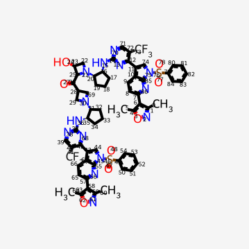 Cc1noc(C)c1-c1ccc2c(-c3nc(N[C@H]4CCC[C@H]4N4CC(O)C4C(=O)C4CN([C@H]5CCC[C@@H]5Nc5ncc(C(F)(F)F)c(-c6cn(S(=O)(=O)c7ccccc7)c7nc(-c8c(C)noc8C)ccc67)n5)C4)ncc3C(F)(F)F)cn(S(=O)(=O)c3ccccc3)c2n1